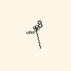 CCCCCCCCCCCCOS(=O)(=O)Oc1cccc2ccccc12.[NaH]